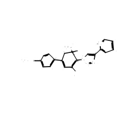 COc1ccc(C2=CC(F)=C(n3cc(-c4ccccn4)nn3)C(F)(OC)C2)cc1